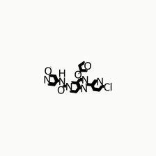 COc1cc(NC(=O)N2CCc3nc(-c4ccc(Cl)nc4)nc(O[C@@H]4CCOC4)c3C2)ccn1